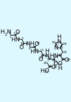 NCC(=O)NCC(=O)NCC(=O)NCC(=O)N[C@@H](CC(=O)O)C(=O)N[C@@H](Cc1c[nH]cn1)C(=O)O